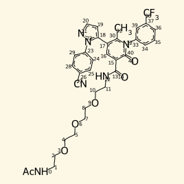 CC(=O)NCCOCCOCCOCCNC(=O)c1cc(-c2ccnn2-c2ccc(C#N)cc2)c(C)n(-c2cccc(C(F)(F)F)c2)c1=O